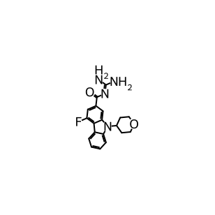 NC(N)=NC(=O)c1cc(F)c2c3ccccc3n(C3CCOCC3)c2c1